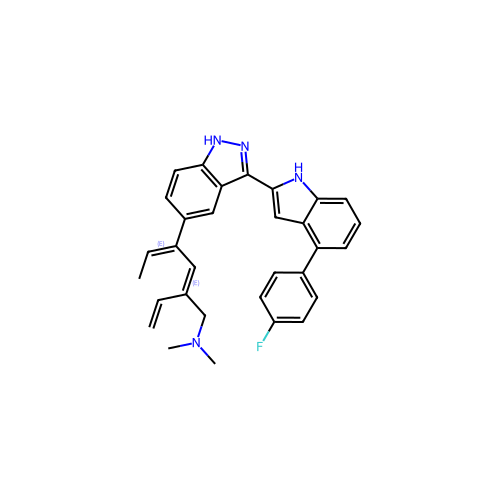 C=C/C(=C\C(=C/C)c1ccc2[nH]nc(-c3cc4c(-c5ccc(F)cc5)cccc4[nH]3)c2c1)CN(C)C